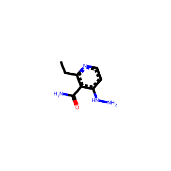 CCc1nccc(NN)c1C(N)=O